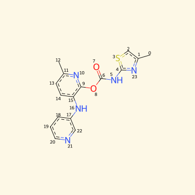 Cc1csc(NC(=O)Oc2nc(C)ccc2Nc2cccnc2)n1